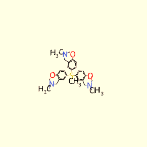 CN1COc2ccc(S(C)(c3ccc4c(c3)CN(C)CO4)c3ccc4c(c3)CN(C)CO4)cc2C1